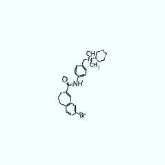 C[N+](C)(Cc1ccc(NC(=O)C2=Cc3cc(Br)ccc3CCC2)cc1)C1CCCCC1